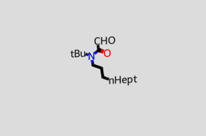 CCCCCCCCCCN(C(=O)C=O)C(C)(C)C